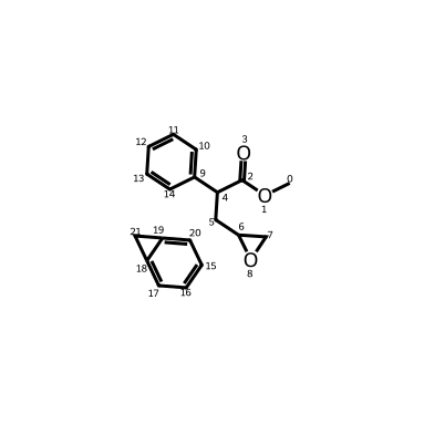 COC(=O)C(CC1CO1)c1ccccc1.c1ccc2c(c1)C2